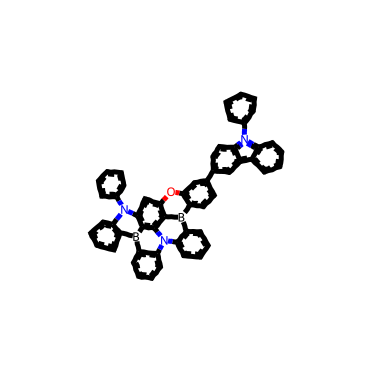 c1ccc(N2c3ccccc3B3c4ccccc4N4c5ccccc5B5c6ccc(-c7ccc8c(c7)c7ccccc7n8-c7ccccc7)cc6Oc6cc2c3c4c65)cc1